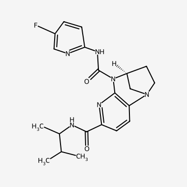 CC(C)C(C)NC(=O)c1ccc2c(n1)N(C(=O)Nc1ccc(F)cn1)[C@H]1CCN2C1